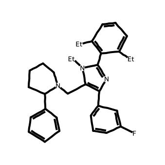 CCc1cccc(CC)c1-c1nc(-c2cccc(F)c2)c(CN2CCCCC2c2ccccc2)n1CC